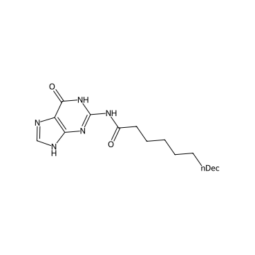 CCCCCCCCCCCCCCCC(=O)Nc1nc2[nH]cnc2c(=O)[nH]1